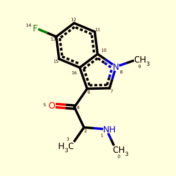 CNC(C)C(=O)c1cn(C)c2ccc(F)cc12